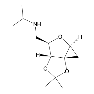 CC(C)NC[C@H]1O[C@H]2C[C@]23OC(C)(C)O[C@H]13